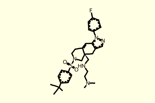 CN(C)CCNC[C@]12Cc3cnn(-c4ccc(F)cc4)c3C=C1CCN(S(=O)(=O)c1ccc(C(C)(C)C)cc1)C2